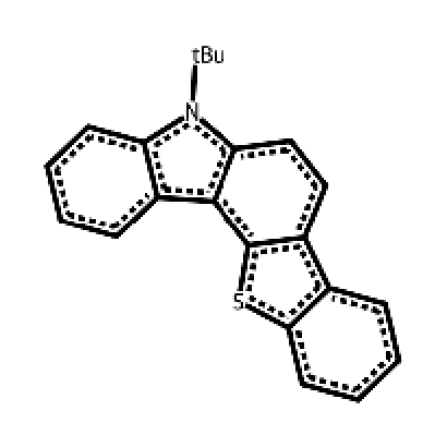 CC(C)(C)n1c2ccccc2c2c3sc4ccccc4c3ccc21